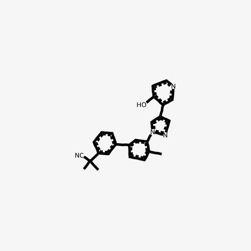 Cc1ccc(-c2cccc(C(C)(C)C#N)c2)cc1-n1cc(-c2cnccc2O)cn1